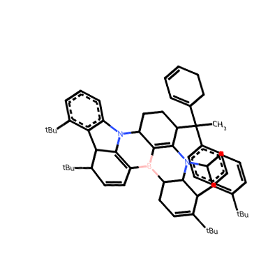 CC(C)(C)C1=CCC2B3C4=C5C(c6c(cccc6C(C)(C)C)N5C5CCC(C(C)(C6=CC=CCC6)c6ccccc6)C(=C35)N3C5CC=CC(C(C)(C)C)=C5C1C23)C(C(C)(C)C)C=C4